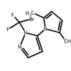 Cc1ccc(C)n1-c1ccnn1C(F)(F)Br